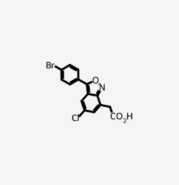 O=C(O)Cc1cc(Cl)cc2c(-c3ccc(Br)cc3)onc12